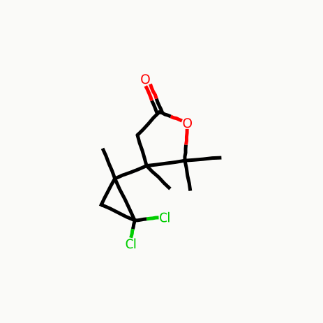 CC1(C)OC(=O)CC1(C)C1(C)CC1(Cl)Cl